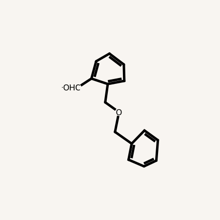 O=[C]c1ccccc1COCc1ccccc1